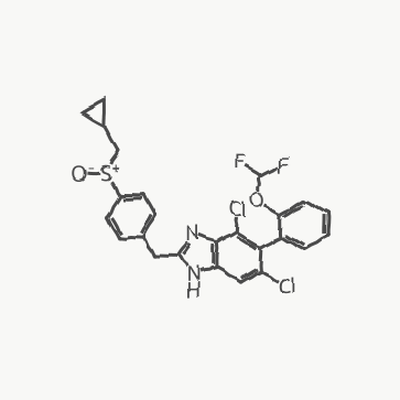 [O-][S+](CC1CC1)c1ccc(Cc2nc3c(Cl)c(-c4ccccc4OC(F)F)c(Cl)cc3[nH]2)cc1